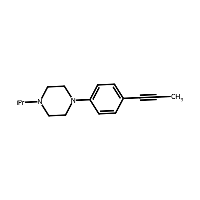 CC#Cc1ccc(N2CCN(C(C)C)CC2)cc1